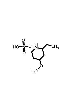 CCC1CC(ON)CCN1.O=S(=O)(O)O